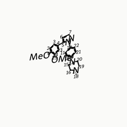 COc1ccc(-c2ccnn2-c2ccc(N3CCN(C)CC3)cc2)cc1OC